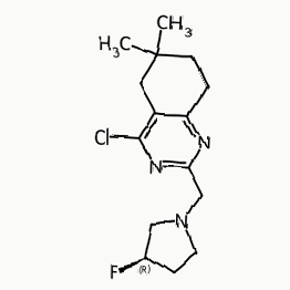 CC1(C)CCc2nc(CN3CC[C@@H](F)C3)nc(Cl)c2C1